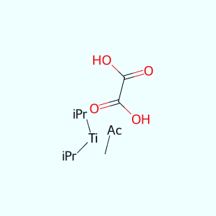 CC(C)=O.C[CH](C)[Ti][CH](C)C.O=C(O)C(=O)O